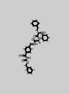 C[C@H](NC(=O)[C@@H](CCc1ccccc1)NC1CCCCC1)C(=O)NCc1ccc(C(=N)NC(=O)OCc2ccccc2)cc1